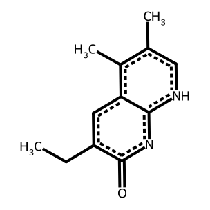 CCc1cc2c(C)c(C)c[nH]c-2nc1=O